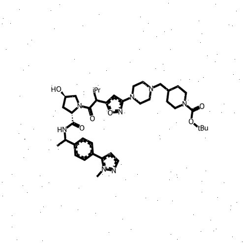 CC(NC(=O)[C@@H]1C[C@@H](O)CN1C(=O)C(c1cc(N2CCN(CC3CCN(C(=O)OC(C)(C)C)CC3)CC2)no1)C(C)C)c1ccc(-c2ccnn2C)cc1